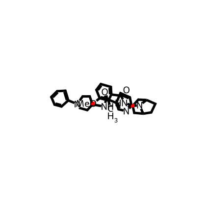 COc1cccc(C(=O)NC2CC3CCC(C2)N3c2ccc(C(=O)NC3CCN(c4ccccc4)CC3)cn2)c1C